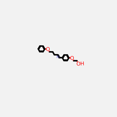 OCCOc1ccc(/C=C/CCCOc2ccccc2)cc1